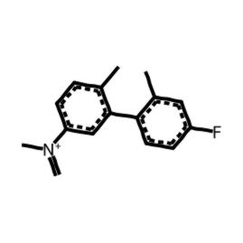 C=[N+](C)c1ccc(C)c(-c2ccc(F)cc2C)c1